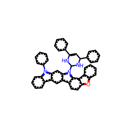 C1=C(c2ccccc2)NC(n2c3cc4c(cc3c3ccc5oc6ccccc6c5c32)c2ccccc2n4-c2ccccc2)NC1c1ccccc1